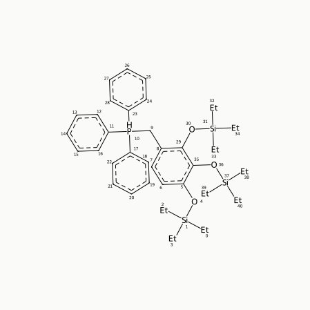 CC[Si](CC)(CC)Oc1ccc(C[PH](c2ccccc2)(c2ccccc2)c2ccccc2)c(O[Si](CC)(CC)CC)c1O[Si](CC)(CC)CC